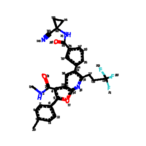 CNC(=O)c1c(-c2ccc(C)cc2)oc2nc(CCC(F)(F)F)c(-c3cccc(C(=O)NC4(C#N)CC4)c3)cc12